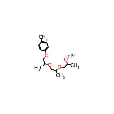 C[CH]COC(C)COC(C)COC(C)COc1ccc(C)cc1